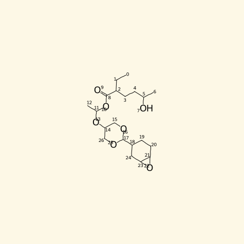 CCC(CCC(C)O)C(=O)OC(C)OC1COC(C2CCC3OC3C2)OC1